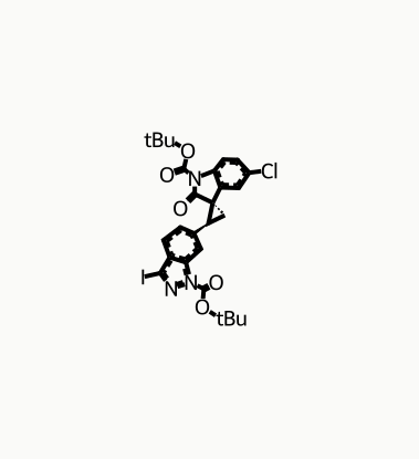 CC(C)(C)OC(=O)N1C(=O)[C@@]2(C[C@H]2c2ccc3c(I)nn(C(=O)OC(C)(C)C)c3c2)c2cc(Cl)ccc21